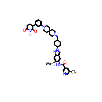 COc1cc2nn(C3CCC(CN4CCC5(CC4)CCN(c4cccc(C6CCC(=O)NC6=O)c4)CC5)CC3)cc2cc1NC(=O)c1cncc(C#N)c1